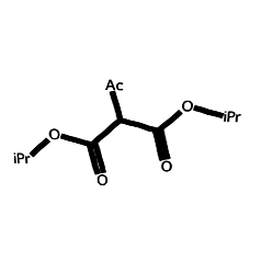 CC(=O)C(C(=O)OC(C)C)C(=O)OC(C)C